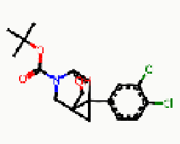 CC(C)(C)OC(=O)N1C=CC2(c3ccc(Cl)c(Cl)c3)CC2(CO)C1